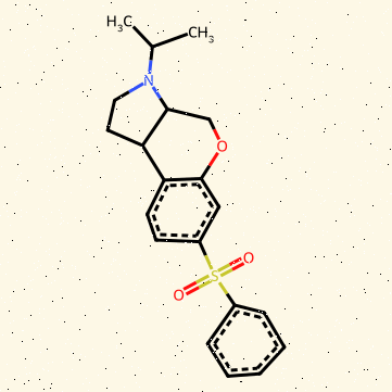 CC(C)N1CCC2c3ccc(S(=O)(=O)c4ccccc4)cc3OCC21